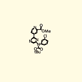 COC(=O)c1cc(-c2cncc(N(C(=O)OC(C)(C)C)c3cccc(Cl)c3)n2)ccn1